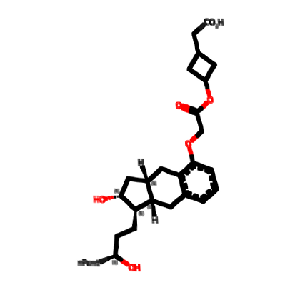 CCCCC[C@H](O)CC[C@@H]1[C@H]2Cc3cccc(OCC(=O)OC4CC(CC(=O)O)C4)c3C[C@H]2C[C@H]1O